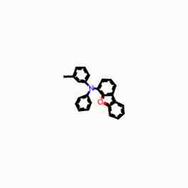 Cc1cccc(N(c2ccccc2)c2cccc3c2oc2ccccc23)c1